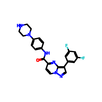 O=C(Nc1ccc(N2CCNCC2)cc1)c1ccn2ncc(-c3cc(F)cc(F)c3)c2n1